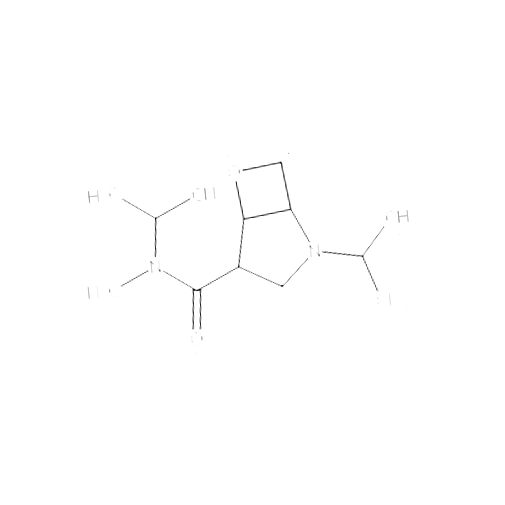 CC(C)N(C)C(=O)C1CN(C(C)C)C2COC12